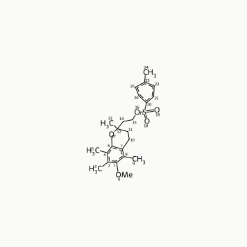 COc1c(C)c(C)c2c(c1C)CCC(C)(CCOS(=O)(=O)c1ccc(C)cc1)O2